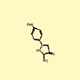 CNc1ccc(N2CC(=O)C(N)N2)cc1